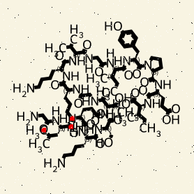 CC[C@H](C)[C@H](NC(=O)[C@H](CCC(=O)O)NC(=O)[C@@H]1CCCN1C(=O)[C@H](Cc1ccc(O)cc1)NC(=O)[C@@H](NC(=O)CNC(=O)[C@@H](NC(=O)[C@H](CCCCN)NC(=O)[C@H](CCCCN)NC(=O)CNC(=O)[C@@H](NC(=O)[C@H](CO)NC(=O)[C@H](CCCCN)NC(=O)[C@H](CCC(=O)O)NC(=O)[C@H](CC(C)C)NC(=O)CN)[C@@H](C)O)C(C)C)[C@@H](C)CC)C(=O)O